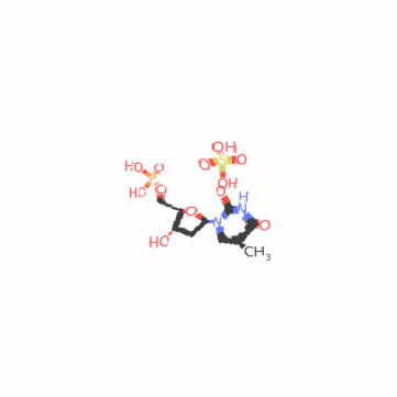 Cc1cn([C@H]2C[C@H](O)[C@@H](COP(=O)(O)O)O2)c(=O)[nH]c1=O.O=S(=O)(O)O